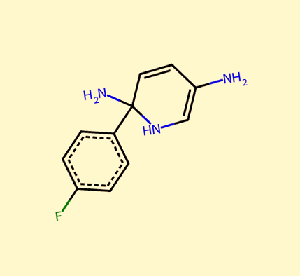 NC1=CNC(N)(c2ccc(F)cc2)C=C1